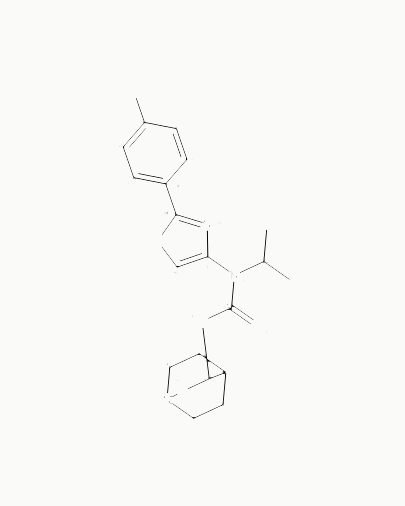 CC(C)N(C(=O)OC1CN2CCC1CC2)c1csc(-c2ccc(F)cc2)n1